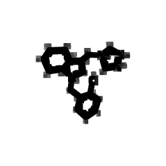 Clc1ccccc1Cn1cc(Cn2cnnc2)c2ccccc21